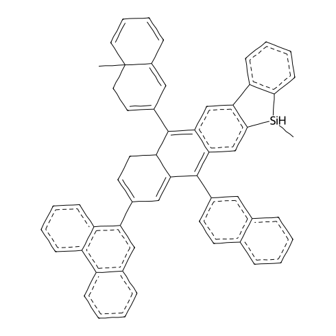 C[SiH]1c2ccccc2-c2cc3c(cc21)=C(c1ccc2ccccc2c1)C1=CC(c2cc4ccccc4c4ccccc24)=CCC1C=3C1=CCC2(C)C=CC=CC2=C1